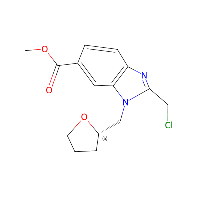 COC(=O)c1ccc2nc(CCl)n(C[C@@H]3CCCO3)c2c1